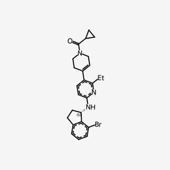 CCc1nc(N[C@H]2CCc3cccc(Br)c32)ccc1C1=CCN(C(=O)C2CC2)CC1